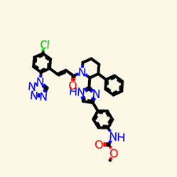 COC(=O)Nc1ccc(-c2c[nH]c(C3C(c4ccccc4)CCCN3C(=O)/C=C/c3cc(Cl)ccc3-n3cnnn3)n2)cc1